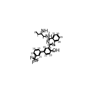 CC[C@@H](N)CNc1nc(-c2cc(-c3cccc(C(F)(F)F)c3)ccc2O)nc2ccccc12